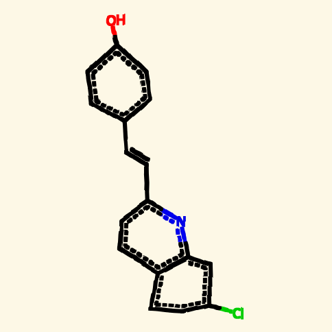 Oc1ccc(/C=C/c2ccc3ccc(Cl)cc3n2)cc1